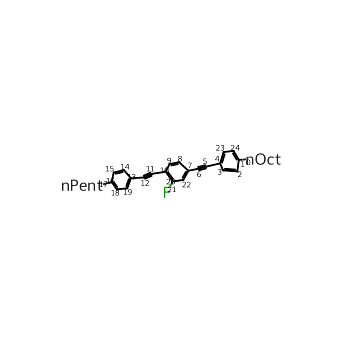 CCCCCCCCc1ccc(C#Cc2ccc(C#Cc3ccc(CCCCC)cc3)c(F)c2)cc1